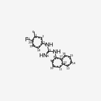 Cc1cc(NC(=N)Nc2cccc3ccccc23)ccc1F